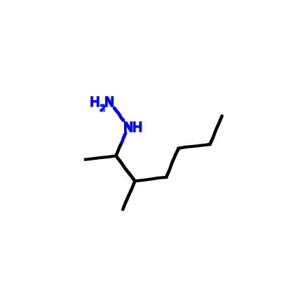 CCCCC(C)C(C)NN